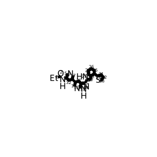 CCC(=O)Nc1cncc(-c2cnc3[nH]nc(-c4cc5c(-c6cccs6)cccc5[nH]4)c3c2)c1